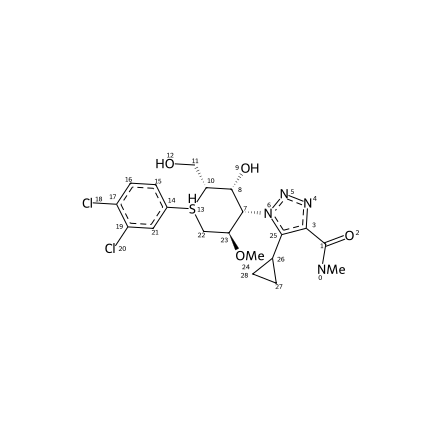 CNC(=O)c1nnn([C@H]2[C@@H](O)[C@@H](CO)[SH](c3ccc(Cl)c(Cl)c3)C[C@@H]2OC)c1C1CC1